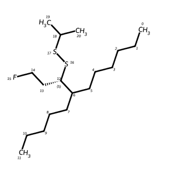 CCCCCCC(CCCCC)[C@H](CCF)SSC(C)C